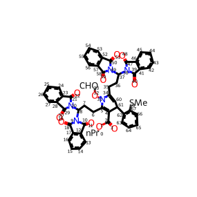 CCCOC(=O)C1=C(CCC(N2C(=O)c3ccccc3C2=O)N2C(=O)c3ccccc3C2=O)N(OC=O)C(CCC(N2C(=O)c3ccccc3C2=O)N2C(=O)c3ccccc3C2=O)=CC1c1ccccc1SC